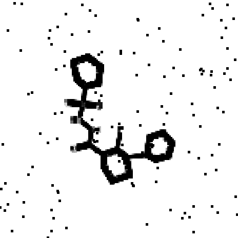 O=C(NNS(=O)(=O)c1ccccc1)c1cccc(-c2ccccc2)c1F